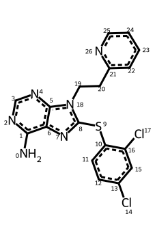 Nc1ncnc2c1nc(Sc1ccc(Cl)cc1Cl)n2CCc1ccccn1